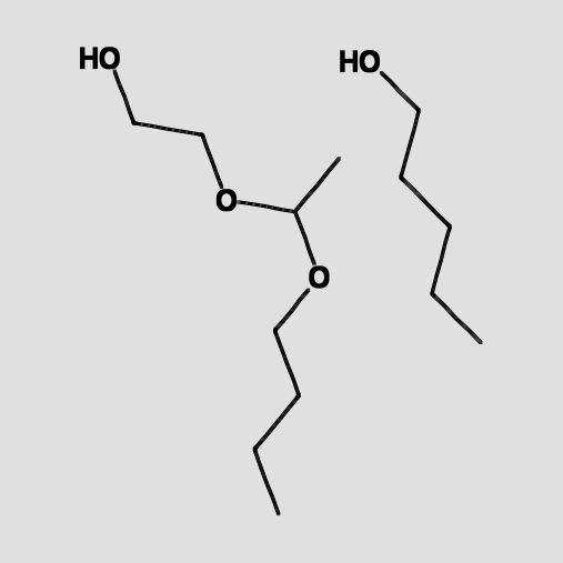 CCCCCO.CCCCOC(C)OCCO